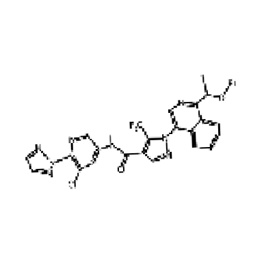 CCOC(C)c1ncc(-n2ncc(C(=O)Nc3cnc(-n4nccn4)c(Cl)c3)c2C(F)(F)F)c2ccccc12